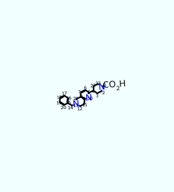 O=C(O)N1CCC(c2ccc3c(n2)CCN(Cc2ccccc2)C3)CC1